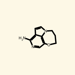 Nc1ncc2c3c1ccn3CCCO2